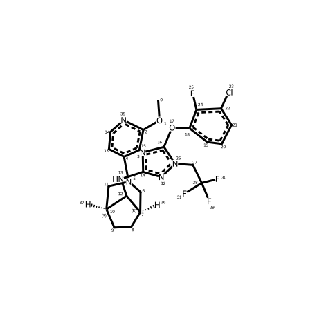 COc1cc(N2C[C@H]3CC[C@@H](C2)C3Nc2nc(Oc3cccc(Cl)c3F)n(CC(F)(F)F)n2)ccn1